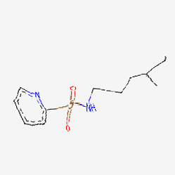 C[C](C)CCCNS(=O)(=O)c1ccccn1